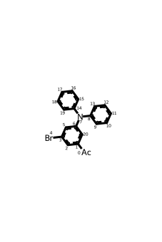 CC(=O)c1cc(Br)cc(N(c2ccccc2)c2ccccc2)c1